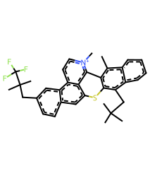 Cc1c2c(c(CC(C)(C)C)c3ccccc13)Sc1cc3ccc(CC(C)(C)C(F)(F)F)cc3c3cc[n+](C)c-2c13